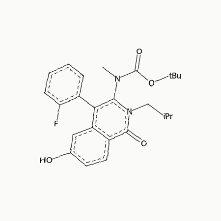 CC(C)Cn1c(N(C)C(=O)OC(C)(C)C)c(-c2ccccc2F)c2cc(O)ccc2c1=O